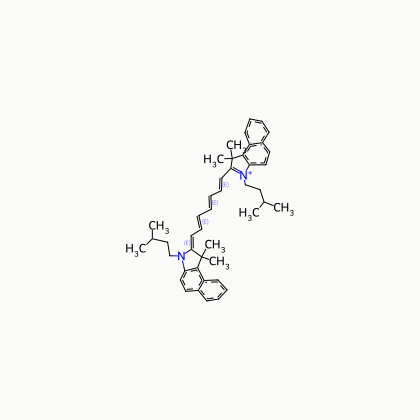 CC(C)CCN1/C(=C/C=C/C=C/C=C/C2=[N+](CCC(C)C)c3ccc4ccccc4c3C2(C)C)C(C)(C)c2c1ccc1ccccc21